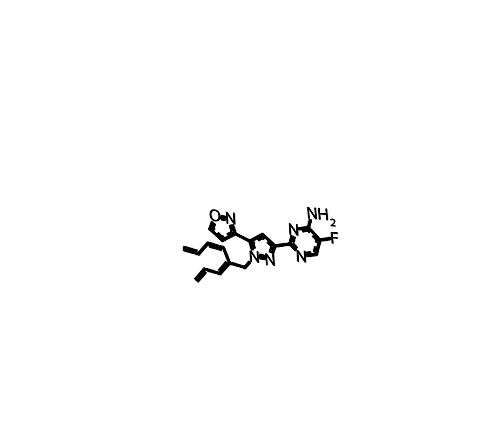 C=C/C=C\C(=C/C=C)Cn1nc(-c2ncc(F)c(N)n2)cc1-c1ccon1